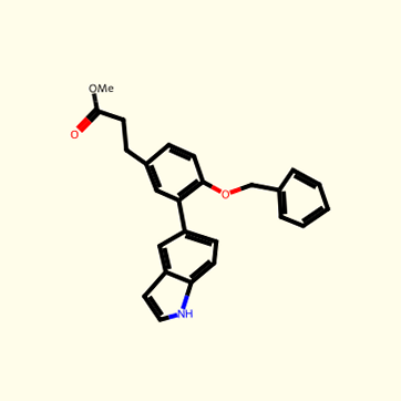 COC(=O)CCc1ccc(OCc2ccccc2)c(-c2ccc3[nH]ccc3c2)c1